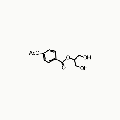 CC(=O)Oc1ccc(C(=O)OC(CO)CO)cc1